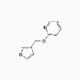 [c]1occc1COc1ccccn1